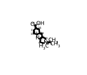 CC(C)(C)N1CCc2nc3ccc(C(=O)O)cc3cc2C1